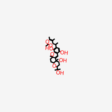 C/C=C(\C)C(OC(C)=O)C(C)c1cc(O)c2c(c1O)OC1(C)CCC3OC(C(C)(C)O)CC(O)C3(C)C1=C2